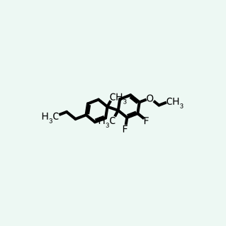 CCCC1=CCC(C)(C2(C)CC=C(OCC)C(F)=C2F)C=C1